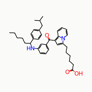 CCCCCC(Nc1cccc(C(=O)c2cc(CCCCCC(=O)O)n3ccccc23)c1)c1ccc(CC(C)C)cc1